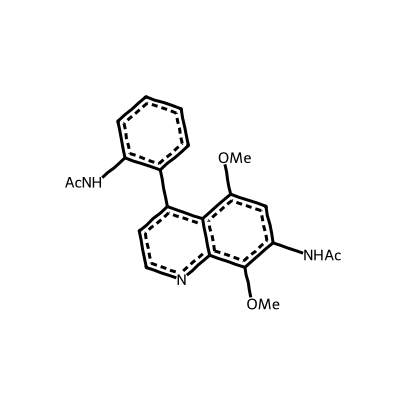 COc1c(NC(C)=O)cc(OC)c2c(-c3ccccc3NC(C)=O)ccnc12